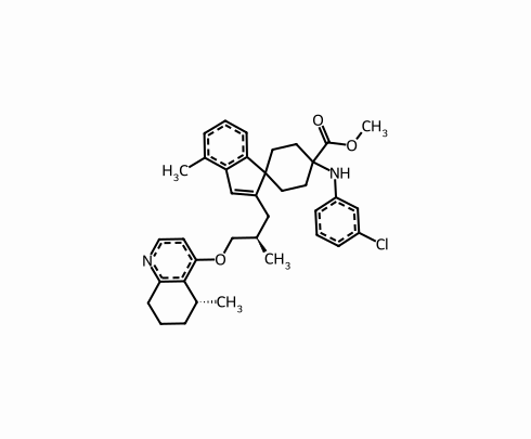 COC(=O)C1(Nc2cccc(Cl)c2)CCC2(CC1)C(C[C@@H](C)COc1ccnc3c1[C@H](C)CCC3)=Cc1c(C)cccc12